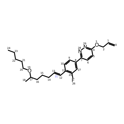 C=CCOc1ccc(-c2ccc(/C=C/CCCC(C)OCCCCC)c(F)c2)nn1